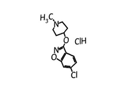 CN1CCC(Oc2noc3cc(Cl)ccc23)CC1.Cl